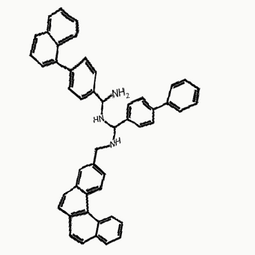 NC(NC(NCc1ccc2c(ccc3ccc4ccccc4c32)c1)c1ccc(-c2ccccc2)cc1)c1ccc(-c2cccc3ccccc23)cc1